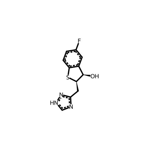 O[C@@H]1c2cc(F)ccc2S[C@@H]1Cc1nc[nH]n1